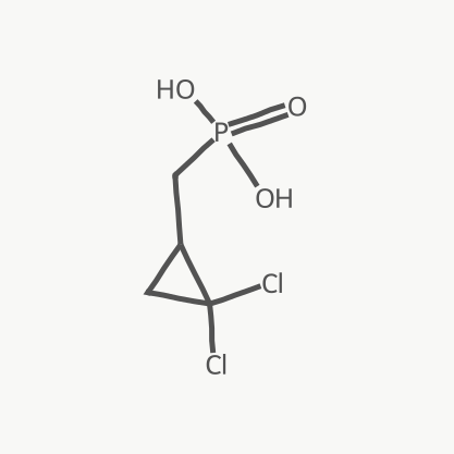 O=P(O)(O)CC1CC1(Cl)Cl